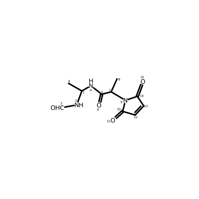 CC(NC=O)NC(=O)C(C)N1C(=O)C=CC1=O